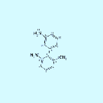 Cc1cccc(N)c1-c1cccc(N)c1